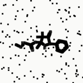 CONC(=O)OC1(C)NN(c2ccccc2)C(=O)C1(C)C